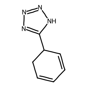 C1=CCC(c2nnn[nH]2)C=C1